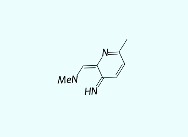 CN/C=C1/N=C(C)C=CC1=N